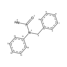 [NH]C(=O)N(Cc1ccccc1)c1ccccc1